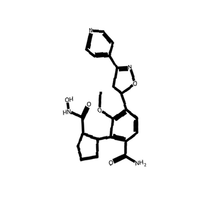 COc1c(C2CC(c3ccncc3)=NO2)ccc(C(N)=O)c1C1CCCC1C(=O)NO